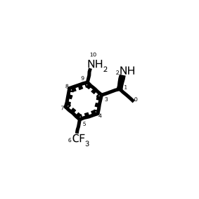 CC(=N)c1cc(C(F)(F)F)ccc1N